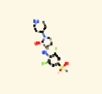 CS(=O)(=O)c1cc(F)c(N[C@H]2CCN(C3CCNCC3)C2=O)c(F)c1